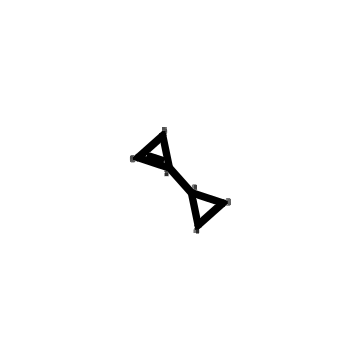 C1=C(C2CC2)C1